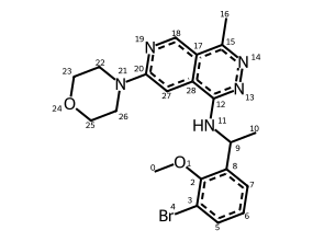 COc1c(Br)cccc1C(C)Nc1nnc(C)c2cnc(N3CCOCC3)cc12